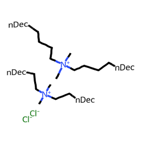 CCCCCCCCCCCCCC[N+](C)(C)CCCCCCCCCCCCCC.CCCCCCCCCCCC[N+](C)(C)CCCCCCCCCCCC.[Cl-].[Cl-]